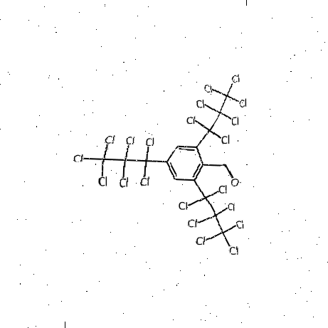 [O]Cc1c(C(Cl)(Cl)C(Cl)(Cl)C(Cl)(Cl)Cl)cc(C(Cl)(Cl)C(Cl)(Cl)C(Cl)(Cl)Cl)cc1C(Cl)(Cl)C(Cl)(Cl)C(Cl)(Cl)Cl